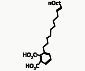 CCCCCCCCC=CCCCCCCCCc1cccc(C(=O)O)c1C(=O)O